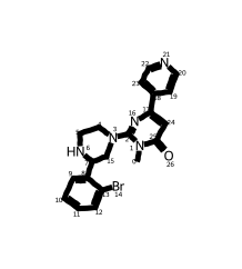 Cn1c(N2CCNC(c3ccccc3Br)C2)nc(-c2ccncc2)cc1=O